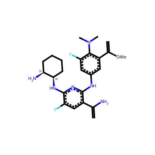 C=C(N)c1cc(F)c(N[C@@H]2CCCC[C@@H]2N)nc1Nc1cc(F)c(N(C)C)c(C(=C)OC)c1